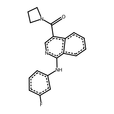 O=C(c1cnc(Nc2cccc(F)c2)c2ccccc12)N1CCC1